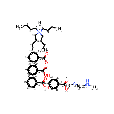 CCCC[N+](CCCC)(CCCC)CCCC.CNC.CNC.O=C(O)c1ccccc1.O=C(O)c1ccccc1.O=C([O-])c1ccccc1.O=C([O-])c1ccccc1.[H+]